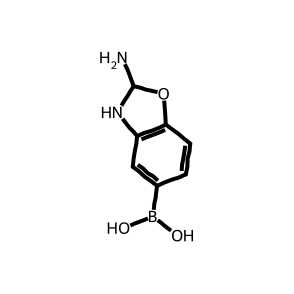 NC1Nc2cc(B(O)O)ccc2O1